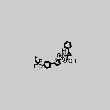 O=C(O)C1(NS(=O)(=O)c2ccc(-c3ccc(OC(F)(F)CF)cc3)s2)CC1c1ccccc1